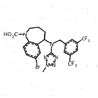 Cn1nnc(N(Cc2cc(C(F)(F)F)cc(C(F)(F)F)c2)C2CCCN(C(=O)O)c3ccc(Br)cc32)n1